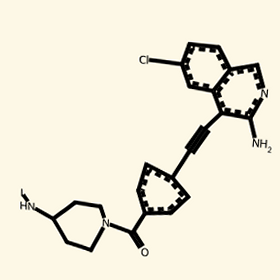 Nc1ncc2ccc(Cl)cc2c1C#Cc1ccc(C(=O)N2CCC(NI)CC2)cc1